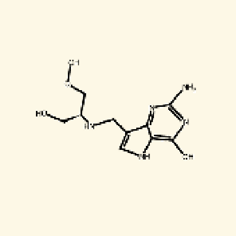 Nc1nc(O)c2[nH]cc(CN[C@@H](CO)COO)c2n1